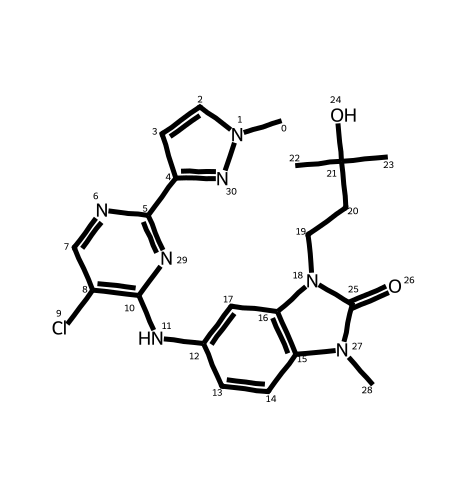 Cn1ccc(-c2ncc(Cl)c(Nc3ccc4c(c3)n(CCC(C)(C)O)c(=O)n4C)n2)n1